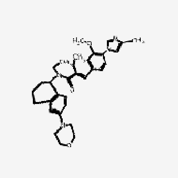 CC/C(=C\c1ccc(-n2cnc(C)c2)c(OC)c1)C(=O)N(CC)[C@@H]1CCCc2cc(N3CCOCC3)ccc21